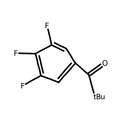 CC(C)(C)C(=O)c1cc(F)c(F)c(F)c1